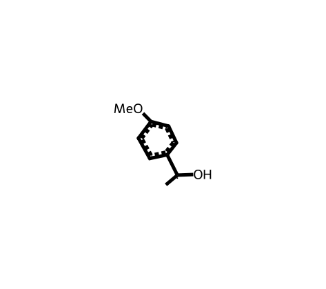 COc1ccc([C](C)O)cc1